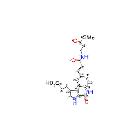 COC(=O)CCNC(=O)C=Cc1ccc2[nH]c(=O)c3[nH]cc(CCC(=O)O)c3c2c1